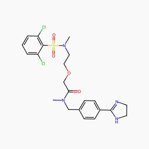 CN(Cc1ccc(C2=NCCN2)cc1)C(=O)COCCN(C)S(=O)(=O)c1c(Cl)cccc1Cl